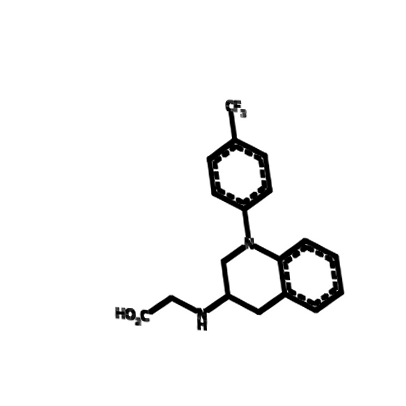 O=C(O)CNC1Cc2ccccc2N(c2ccc(C(F)(F)F)cc2)C1